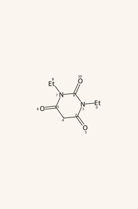 CCN1C(=O)CC(=O)N(CC)C1=O